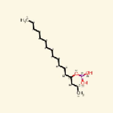 CCCCCCCCCCCCCC(CCC)OP(O)O